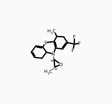 CC1CC(C(F)(F)F)=CC2=C1SC1=CC=CCC1N2[C@@H]1O[C@@H]1C